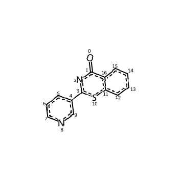 O=c1nc(-c2cccnc2)sc2ccccc12